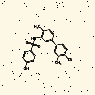 Cc1cc(-c2ccc(C)c(NS(=O)(=O)c3ccc(O)cc3)c2)ccc1C#N